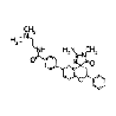 CN(C)CCNC(=O)c1ccc(-c2ccc3c(c2)C2(CC(c4ccccc4)O3)N=C(N)N(C)C2=O)cc1